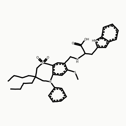 CCCCC1(CCCC)CN(c2ccccc2)c2cc(SC)c(CNC(Cc3cc4ccccc4[nH]3)C(=O)O)cc2S(=O)(=O)C1